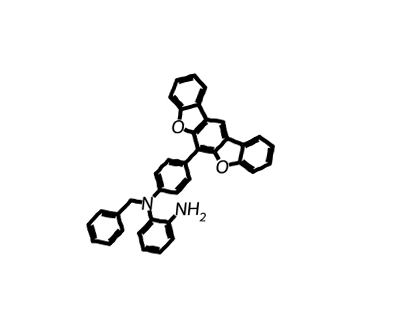 Nc1ccccc1N(Cc1ccccc1)c1ccc(-c2c3oc4ccccc4c3cc3c2oc2ccccc23)cc1